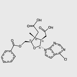 C[C@]1(CC(=O)O)[C@H](COC(=O)c2ccccc2)O[C@@H](n2ccc3c(Cl)ncnc32)[C@@H]1CC(=O)O